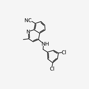 Cc1cc(NCc2cc(Cl)cc(Cl)c2)c2cccc(C#N)c2n1